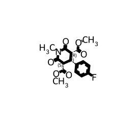 COC(=O)[C@@H]1C(=O)N(C)C(=O)[C@H](C(=O)OC)[C@@H]1c1ccc(F)cc1